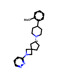 COc1ccccc1C1CCN([C@@H]2CCC3(C2)CN(c2cccnn2)C3)CC1